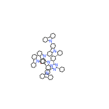 c1ccc(-c2nc(-c3ccccc3)nc(-c3cc(-c4ccccc4-n4c5ccc(-n6c7ccccc7c7ccccc76)cc5c5cc(-n6c7ccccc7c7ccccc76)ccc54)ccc3-n3c4ccc(-n5c6ccccc6c6ccccc65)cc4c4cc(-n5c6ccccc6c6ccccc65)ccc43)n2)cc1